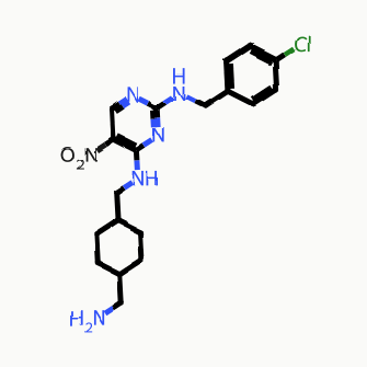 NCC1CCC(CNc2nc(NCc3ccc(Cl)cc3)ncc2[N+](=O)[O-])CC1